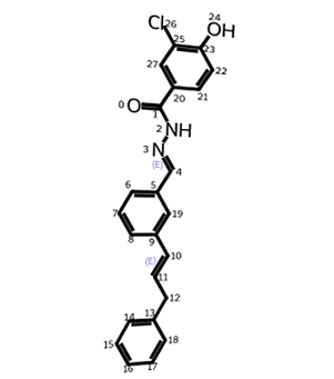 O=C(N/N=C/c1cccc(/C=C/Cc2ccccc2)c1)c1ccc(O)c(Cl)c1